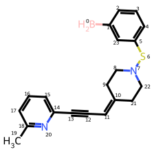 Bc1cccc(SN2CCC(=CC#Cc3cccc(C)n3)CC2)c1